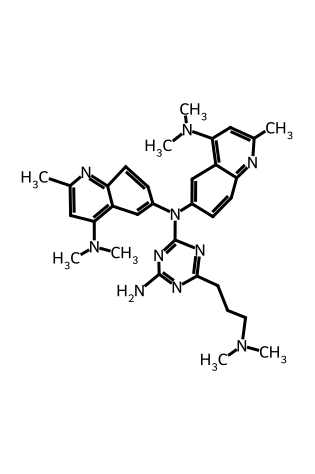 Cc1cc(N(C)C)c2cc(N(c3ccc4nc(C)cc(N(C)C)c4c3)c3nc(N)nc(CCCN(C)C)n3)ccc2n1